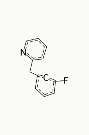 Fc1cccc(Cc2ccccn2)c1